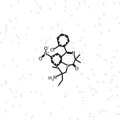 CCC(N)(CC)CN1C(=O)C(C)(C)N=C(c2ccccc2Cl)c2cc([N+](=O)[O-])ccc21